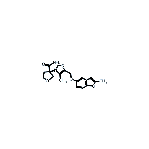 CC1=C(COc2ccc3oc(C)cc3c2)SCN1C1(C(N)=O)CCOC1